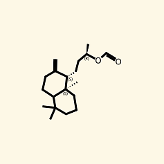 C=C1CCC2C(C)(C)CCC[C@]2(C)[C@H]1CC[C@@H](C)OC=O